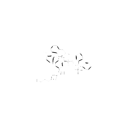 C[C@@H]1Cc2ccccc2[C@@](c2cccc(O)c2)(c2c(F)cc(NC3CN(CCCF)C3)cc2F)N1CC(F)(F)CO[Si](c1ccccc1)(c1ccccc1)C(C)(C)C